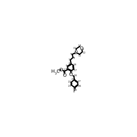 COC(=O)c1cc(CCCN2CCOCC2)ccc1OCc1ccc(F)cc1